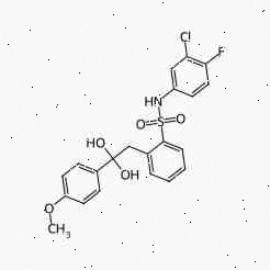 COc1ccc(C(O)(O)Cc2ccccc2S(=O)(=O)Nc2ccc(F)c(Cl)c2)cc1